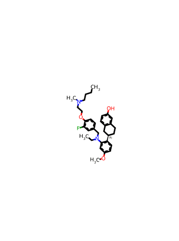 CCCCN(C)CCOc1ccc(CN(CC)c2cc(OC)ccc2[C@@H]2CCc3cc(O)ccc3C2)cc1F